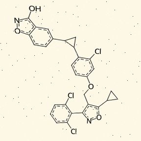 Oc1noc2ccc(C3CC3c3ccc(OCc4c(-c5c(Cl)cccc5Cl)noc4C4CC4)cc3Cl)cc12